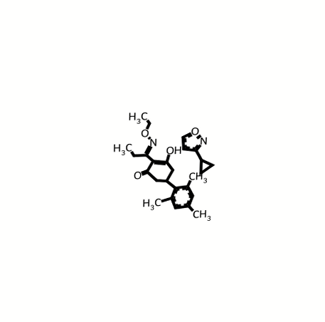 CCO/N=C(\CC)C1=C(O)CC(c2c(C)cc(C)cc2C)CC1=O.c1cc(C2CC2)no1